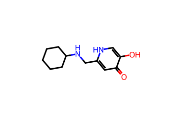 O=c1cc(CNC2CCCCC2)[nH]cc1O